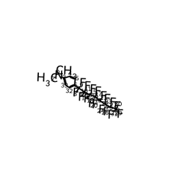 CN(C)c1ccc(C(F)(F)C(F)(F)C(F)(F)C(F)(F)C(F)(F)C(F)(F)C(F)(F)C(F)(F)F)cc1